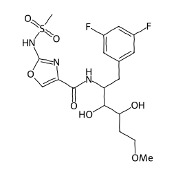 COCCC(O)C(O)C(Cc1cc(F)cc(F)c1)NC(=O)c1coc(NS(C)(=O)=O)n1